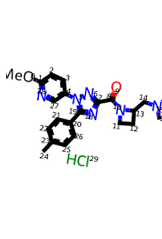 COc1ccc(-n2nc(C(=O)N3CCC3CN(C)C)nc2-c2ccc(C)cc2)cn1.Cl